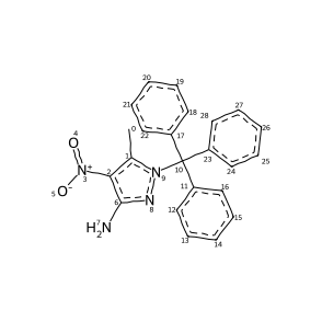 Cc1c([N+](=O)[O-])c(N)nn1C(c1ccccc1)(c1ccccc1)c1ccccc1